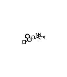 Clc1ccc(OCc2nnc(C3CC3)s2)c2ccccc12